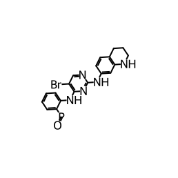 O=Pc1ccccc1Nc1nc(Nc2ccc3c(c2)NCCC3)ncc1Br